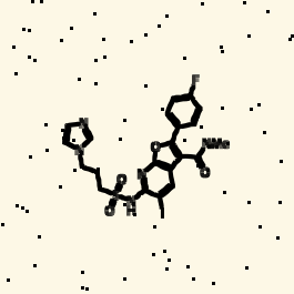 CNC(=O)c1c(-c2ccc(F)cc2)oc2nc(NS(=O)(=O)CCCn3ccnc3)c(I)cc12